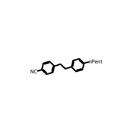 CCCCCc1ccc(CCc2ccc(C#N)cc2)cc1